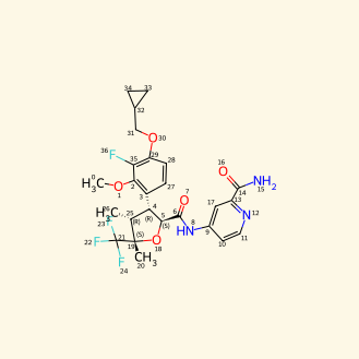 COc1c([C@@H]2[C@@H](C(=O)Nc3ccnc(C(N)=O)c3)O[C@](C)(C(F)(F)F)[C@@H]2C)ccc(OCC2CC2)c1F